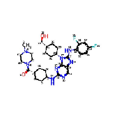 CN1CCN(C(=O)[C@H]2CC[C@H](Nc3ncc4nc(Nc5ccc(F)cc5F)n([C@H]5CC[C@@H](CO)CC5)c4n3)CC2)CC1